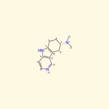 CN(C)[C@H]1CCc2[nH]c3ccncc3c2C1